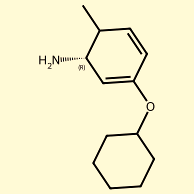 CC1C=CC(OC2CCCCC2)=C[C@@H]1N